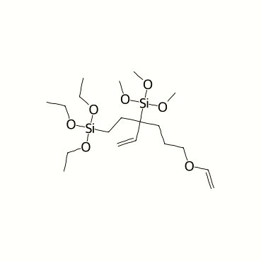 C=COCCCC(C=C)(CC[Si](OCC)(OCC)OCC)[Si](OC)(OC)OC